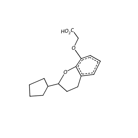 O=C(O)COc1cccc2c1OC(C1CCCC1)CC2